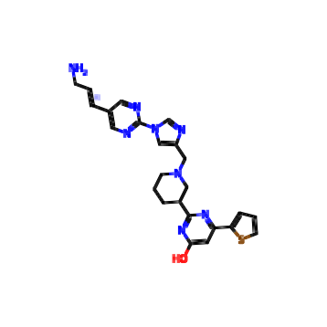 NC/C=C/c1cnc(-n2cnc(CN3CCCC(c4nc(O)cc(-c5cccs5)n4)C3)c2)nc1